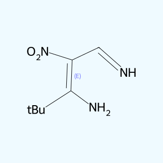 CC(C)(C)/C(N)=C(/C=N)[N+](=O)[O-]